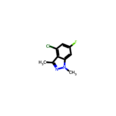 Cc1nn(C)c2cc(F)cc(Cl)c12